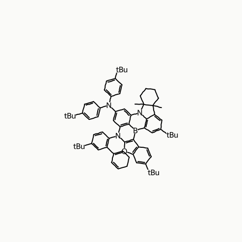 CC(C)(C)c1ccc(N(c2ccc(C(C)(C)C)cc2)c2cc3c4c(c2)N2c5c(cc(C(C)(C)C)cc5C5(C)CCCCC25C)B4c2c(oc4cc(C(C)(C)C)ccc24)N3c2ccc(C(C)(C)C)cc2C2=CCCC=C2)cc1